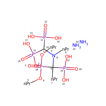 CCCOP(=O)(OCCC)C(CCC)(N(CCC)C(P(=O)(O)O)P(=O)(O)O)P(=O)(O)O.N.N